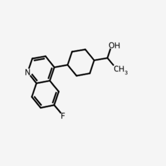 CC(O)C1CCC(c2ccnc3ccc(F)cc23)CC1